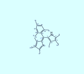 CC1=N/C(=C(\c2[nH]c(C)c(I)c2C)c2c(C)cc(C)cc2C)C(C)=C1I